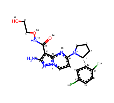 Nc1nn2ccc(N3CCC[C@@H]3c3cc(F)ccc3F)nc2c1C(=O)NOCCO